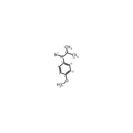 COc1ccc(P(Br)C(C)C)cc1